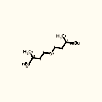 CCCCC(C)CC[N]CCC(C)CCCC